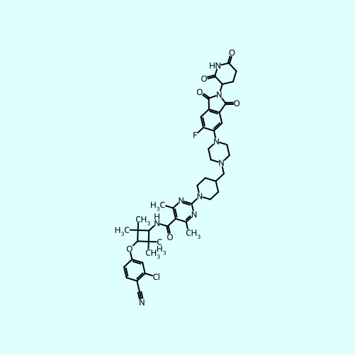 Cc1nc(N2CCC(CN3CCN(c4cc5c(cc4F)C(=O)N(C4CCC(=O)NC4=O)C5=O)CC3)CC2)nc(C)c1C(=O)NC1C(C)(C)C(Oc2ccc(C#N)c(Cl)c2)C1(C)C